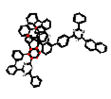 c1ccc(-c2nc(-c3ccc(-c4cccc5c4Oc4ccccc4C54c5ccccc5-c5c(-c6cccc(-c7ccccc7-c7nc(-c8ccccc8)nc(-c8ccc(-c9cccc%10c9Oc9ccccc9C%109c%10ccccc%10-c%10ccccc%109)cc8)n7)c6)cccc54)cc3)nc(-c3ccc4ccccc4c3)n2)cc1